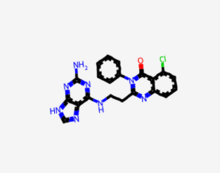 Nc1nc(NCCc2nc3cccc(Cl)c3c(=O)n2-c2ccccc2)c2nc[nH]c2n1